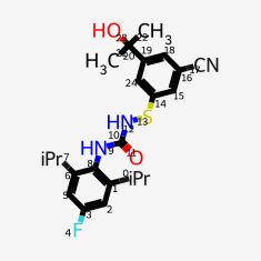 CC(C)c1cc(F)cc(C(C)C)c1NC(=O)NSc1cc(C#N)cc(C(C)(C)O)c1